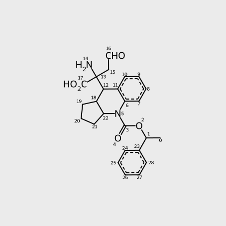 CC(OC(=O)N1c2ccccc2C(C(N)(CC=O)C(=O)O)C2CCCC21)c1ccccc1